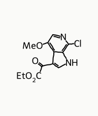 CCOC(=O)C(=O)c1c[nH]c2c(Cl)ncc(OC)c12